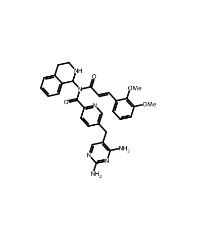 COc1cccc(C=CC(=O)N(C(=O)c2ccc(Cc3cnc(N)nc3N)cn2)C2NCCc3ccccc32)c1OC